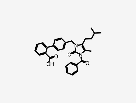 Cc1c(CCC(C)C)n(Cc2ccc(-c3ccccc3C(=O)O)cc2)c(=O)n1C(=O)c1ccccc1